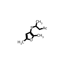 CC(=O)CC(C)Sc1cc(C)oc1C